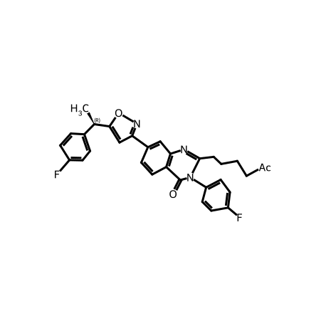 CC(=O)CCCCc1nc2cc(-c3cc([C@H](C)c4ccc(F)cc4)on3)ccc2c(=O)n1-c1ccc(F)cc1